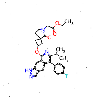 CCOC(=O)CN1CCC2(CC(Oc3nc(C(C)C)c(-c4ccc(F)cc4)c4cc5cn[nH]c5cc34)C2)C1=O